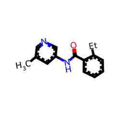 CCc1ccccc1C(=O)Nc1cncc(C)c1